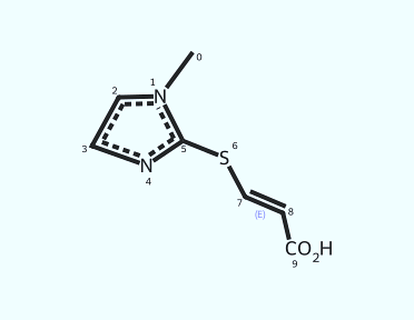 Cn1ccnc1S/C=C/C(=O)O